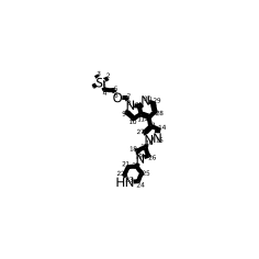 C[Si](C)(C)CCOCn1ccc2c(-c3cnn(C4CN(C5CCNCC5)C4)c3)ccnc21